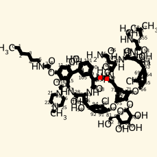 CCCCCCNC(=O)Oc1cc(O)c2c(c1)[C@@H](C(=O)N1CCN(C)CC1)NC(=O)[C@H]1NC(=O)[C@H](NC(=O)[C@@H]3NC(=O)[C@H](CC(N)=O)NC(=O)[C@H](NC(=O)[C@@H](CC(C)C)NC)[C@H](O)c4ccc(c(Cl)c4)Oc4cc3cc(c4O[C@@H]3O[C@H](CO)[C@@H](O)[C@H](O)[C@H]3O)Oc3ccc(cc3Cl)[C@H]1O)c1ccc(O)c-2c1